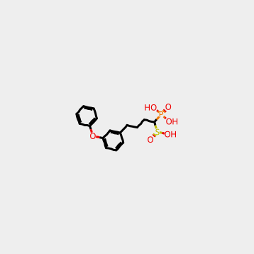 O=S(O)C(CCCc1cccc(Oc2ccccc2)c1)P(=O)(O)O